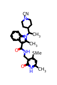 CSc1cc(C)[nH]c(=O)c1CNC(=O)c1c(C)n(C(C)C2CCN(C#N)CC2)c2ccccc12